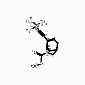 CC(C)(C)OC(=O)N1CC2CC=C(C#C[Si](C)(C)C)C1C2